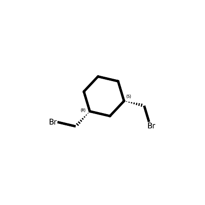 BrC[C@@H]1CCC[C@H](CBr)C1